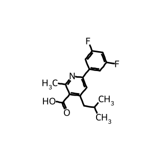 Cc1nc(-c2cc(F)cc(F)c2)cc(CC(C)C)c1C(=O)O